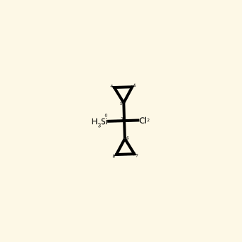 [SiH3]C(Cl)(C1CC1)C1CC1